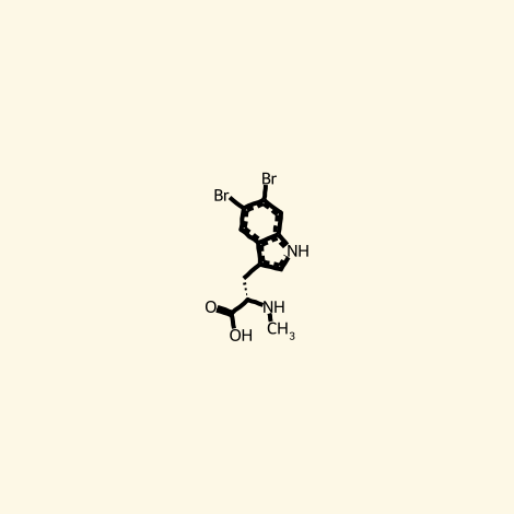 CN[C@@H](Cc1c[nH]c2cc(Br)c(Br)cc12)C(=O)O